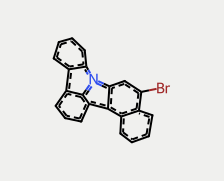 Brc1cc2c(c3ccccc13)c1cccc3c4ccccc4n2c31